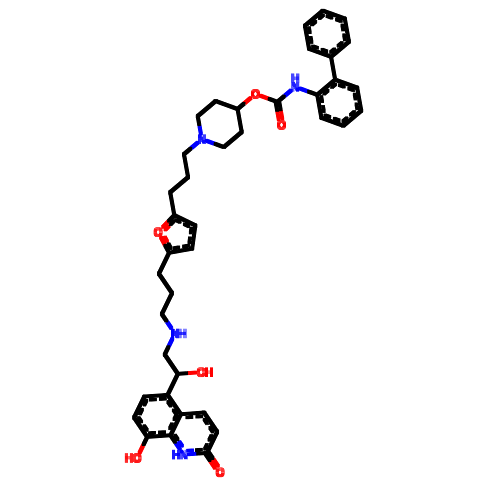 O=C(Nc1ccccc1-c1ccccc1)OC1CCN(CCCc2ccc(CCCNCC(O)c3ccc(O)c4[nH]c(=O)ccc34)o2)CC1